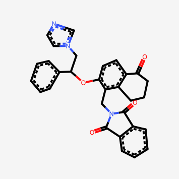 O=C1CCCc2c1ccc(OC(Cn1ccnc1)c1ccccc1)c2CN1C(=O)c2ccccc2C1=O